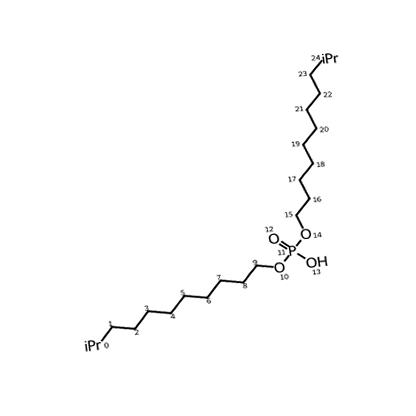 CC(C)CCCCCCCCCOP(=O)(O)OCCCCCCCCCC(C)C